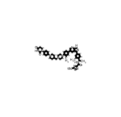 Cc1cc(-c2n[nH]c3ncc(-c4ccc(N5CCN(CC6CCN(c7ccc(N8CCC(=O)NC8=O)cc7)CC6)CC5)c(C)c4)cc23)ccc1C(C)NC(=O)c1noc(C(C)(C)C)n1